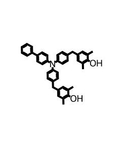 Cc1cc(Cc2ccc(N(c3ccc(Cc4cc(C)c(O)c(C)c4)cc3)c3ccc(-c4ccccc4)cc3)cc2)cc(C)c1O